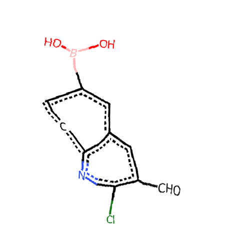 O=Cc1cc2cc(B(O)O)ccc2nc1Cl